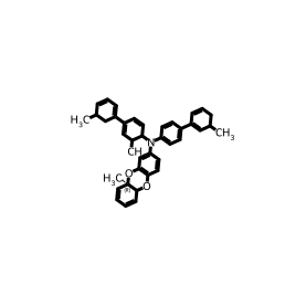 CC1C=C(c2ccc(N(c3ccc4c(c3)O[C@]3(C)C=CC=CC3O4)C3C=CC(C4=CC=CC(C)C4)=CC3C)cc2)C=CC1